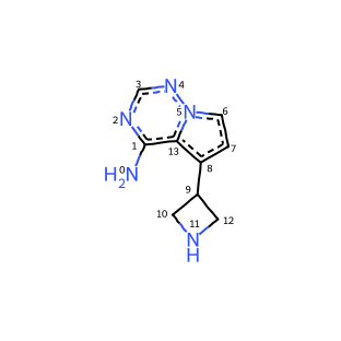 Nc1ncnn2ccc(C3CNC3)c12